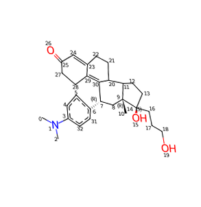 CN(C)c1ccc([C@H]2C[C@]3(C)C(CC[C@]3(O)CCCO)C3CCC4=CC(=O)CCC4=C32)cc1